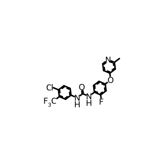 Cc1cc(Oc2ccc(NC(=O)Nc3ccc(Cl)c(C(F)(F)F)c3)c(F)c2)ccn1